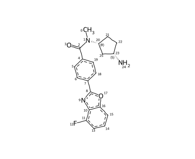 CN(C(=O)c1ccc(-c2nc3c(F)cccc3o2)cc1)[C@@H]1CC[C@H](N)C1